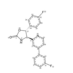 O=C1N[C@H](c2cc(-c3cccc(F)c3)ccn2)[C@@H](c2ccc(F)cc2)O1